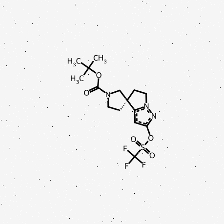 CC(C)(C)OC(=O)N1CC[C@@]2(CCn3nc(OS(=O)(=O)C(F)(F)F)cc32)C1